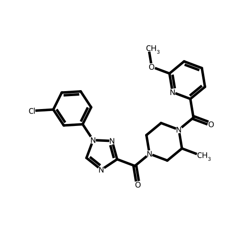 COc1cccc(C(=O)N2CCN(C(=O)c3ncn(-c4cccc(Cl)c4)n3)CC2C)n1